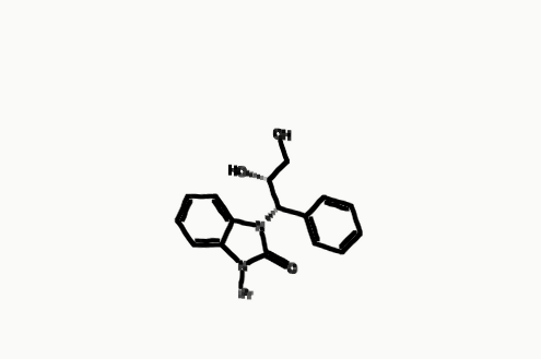 CC(C)n1c(=O)n([C@@H](c2ccccc2)[C@H](O)CO)c2ccccc21